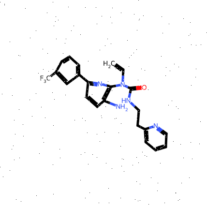 C=CN(C(=O)NCCc1ccccn1)c1nc(-c2cccc(C(F)(F)F)c2)ccc1N